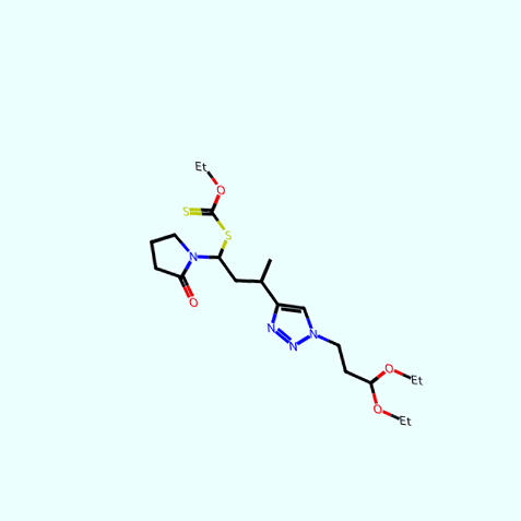 CCOC(=S)SC(CC(C)c1cn(CCC(OCC)OCC)nn1)N1CCCC1=O